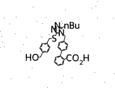 CCCCc1nnc(SCc2ccc(CO)cc2)n1Cc1ccc(-c2ccccc2C(=O)O)cc1